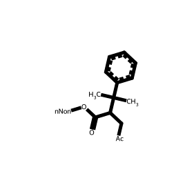 CCCCCCCCCOC(=O)C(CC(C)=O)C(C)(C)c1ccccc1